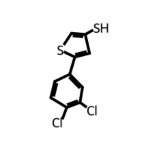 Sc1csc(-c2ccc(Cl)c(Cl)c2)c1